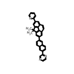 CC1(C)c2cc(-c3ccc4cc(-c5cnccn5)ccc4c3)cc3ccc4cc(-c5ccccn5)cc1c4c23